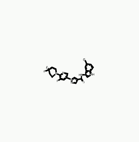 O=C(Nc1c[nH]c2ccc(Cl)cc12)c1cnn(-c2cnc(N3CCC(F)(F)CC3)c(F)c2)c1